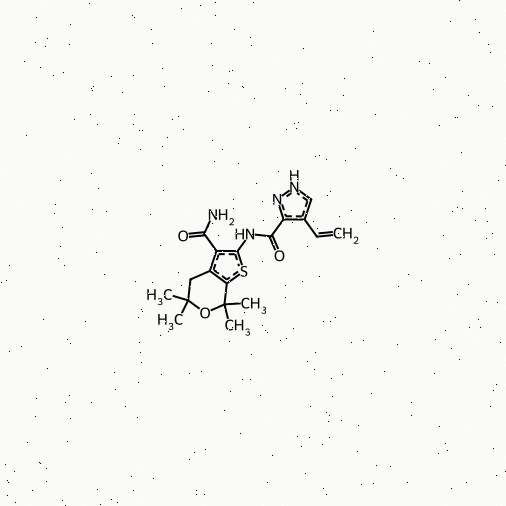 C=Cc1c[nH]nc1C(=O)Nc1sc2c(c1C(N)=O)CC(C)(C)OC2(C)C